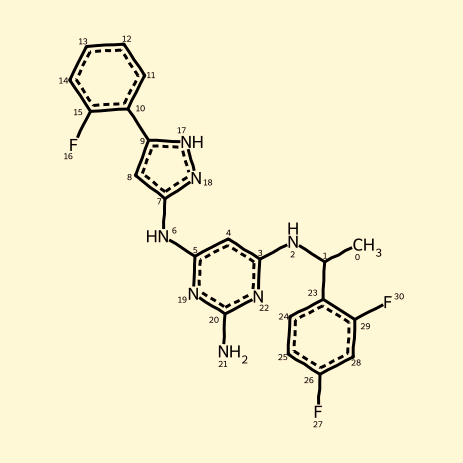 CC(Nc1cc(Nc2cc(-c3ccccc3F)[nH]n2)nc(N)n1)c1ccc(F)cc1F